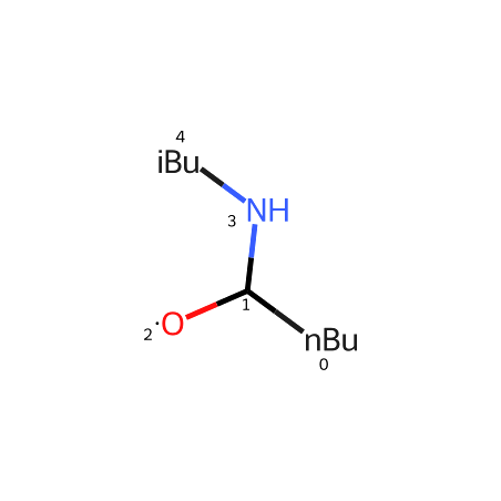 CCCCC([O])NC(C)CC